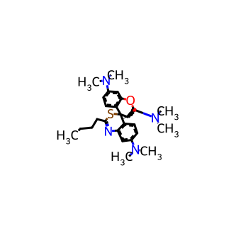 CCCCC1=Nc2cc(N(C)C)ccc2C2(S1)c1ccc(N(C)C)cc1Oc1cc(N(C)C)ccc12